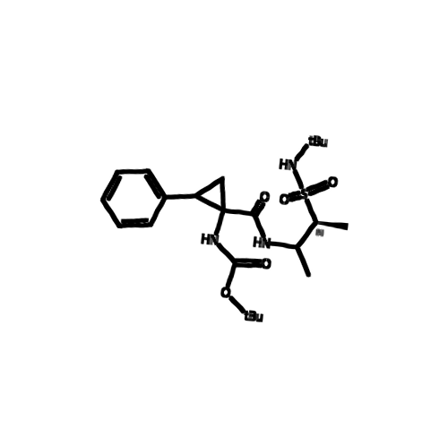 CC(NC(=O)C1(NC(=O)OC(C)(C)C)CC1c1ccccc1)[C@H](C)S(=O)(=O)NC(C)(C)C